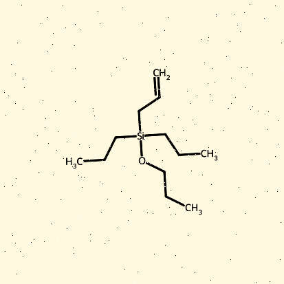 C=CC[Si](CCC)(CCC)OCCC